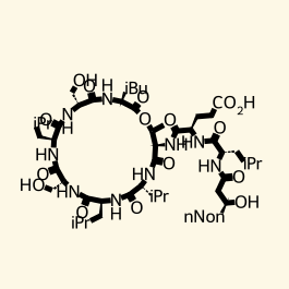 CCCCCCCCC[C@H](O)CC(=O)N[C@@H](CC(C)C)C(=O)N[C@H](CCC(=O)O)C(=O)N[C@H]1C(=O)N[C@H](C(C)C)C(=O)N[C@@H](CC(C)C)C(=O)N[C@H](CO)C(=O)N[C@@H](CC(C)C)C(=O)N[C@H](CO)C(=O)N[C@@H](C(C)CC)C(=O)OC1C